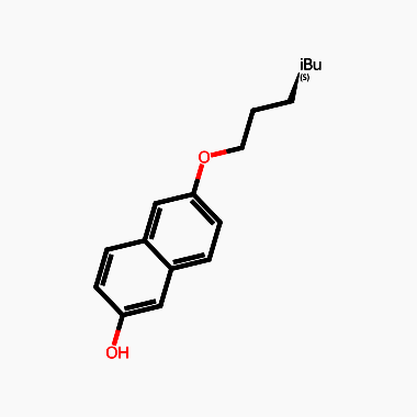 CC[C@H](C)CCCOc1ccc2cc(O)ccc2c1